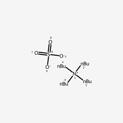 CCCC[N+](CCCC)(CCCC)CCCC.[O]S(=O)(=O)[O-]